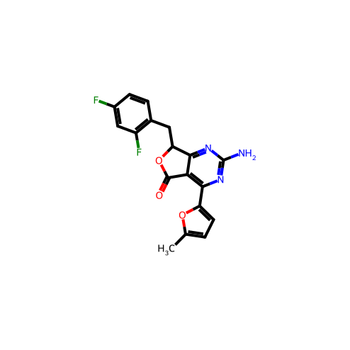 Cc1ccc(-c2nc(N)nc3c2C(=O)OC3Cc2ccc(F)cc2F)o1